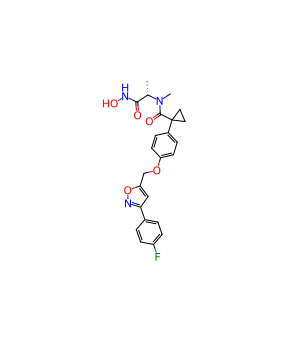 C[C@@H](C(=O)NO)N(C)C(=O)C1(c2ccc(OCc3cc(-c4ccc(F)cc4)no3)cc2)CC1